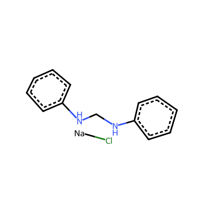 [Na][Cl].c1ccc(NCNc2ccccc2)cc1